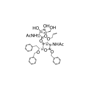 C=CCO[C@@H]1[C@H](NC(C)=O)[C@@H](OCc2ccccc2)O[C@H](C(Cc2ccccc2)OCc2ccccc2)[C@H]1O[C@@H]1O[C@H](CO)[C@@H](O)[C@H](O)[C@@H]1NC(C)=O